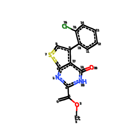 C=C(OCC)c1nc2scc(-c3ccccc3Cl)c2c(=O)[nH]1